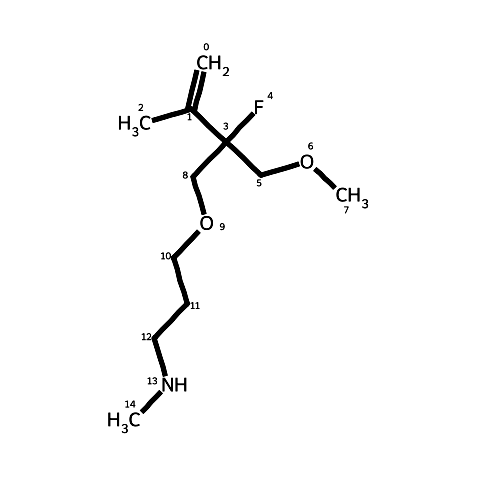 C=C(C)C(F)(COC)COCCCNC